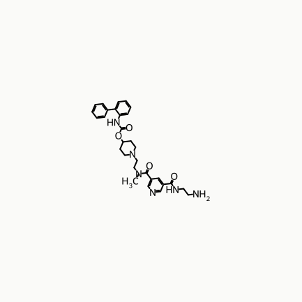 CN(CCN1CCC(OC(=O)Nc2ccccc2-c2ccccc2)CC1)C(=O)c1cncc(C(=O)NCCN)c1